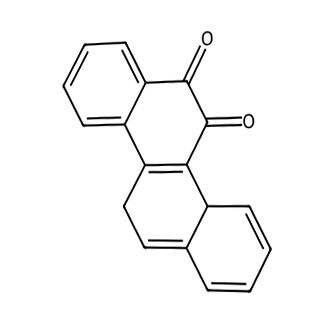 O=C1C(=O)c2ccccc2C2=C1C1C=CC=CC1=CC2